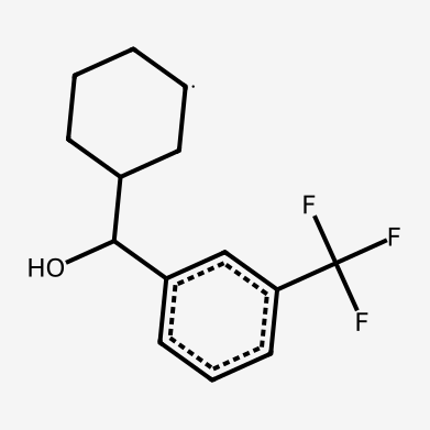 OC(c1cccc(C(F)(F)F)c1)C1C[CH]CCC1